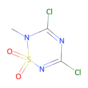 CN1C(Cl)=NC(Cl)=NS1(=O)=O